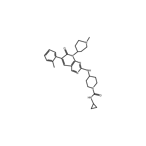 Cc1ccccc1-c1cc2cnc(NC3CCN(C(=O)NC4CC4)CC3)nc2n(C2CCN(C)CC2)c1=O